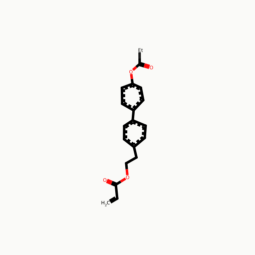 C=CC(=O)OCCc1ccc(-c2ccc(OC(=O)CC)cc2)cc1